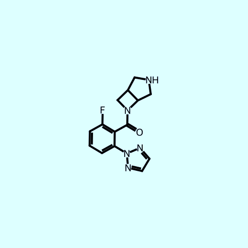 O=C(c1c(F)cccc1-n1nccn1)N1CC2CNCC21